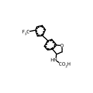 O=C(O)NC1COc2cc(-c3cccc(C(F)(F)F)c3)ccc21